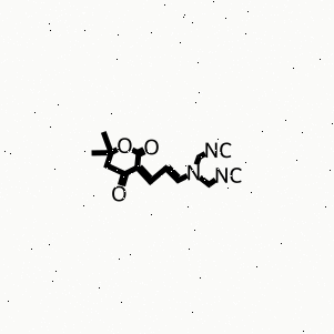 [C-]#[N+]CN(/C=C/C=C1/C(=O)CC(C)(C)OC1=O)C[N+]#[C-]